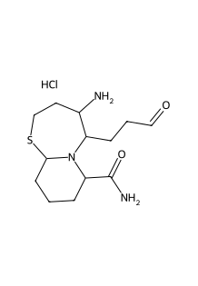 Cl.NC(=O)C1CCCC2SCCC(N)C(CCC=O)N21